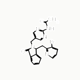 CC(=O)Nc1ncc(CN2C(=O)c3ccccc3C2Cc2ncccc2Br)cn1